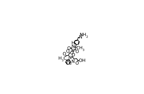 CC(=O)[C@@H](C(=O)ON1C(=O)N[C@](C)(c2ccc(C=NN)cc2)C1=O)N(C(=O)[C@@H](N)CC(=O)O)c1ccccc1